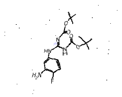 CC(C)(C)OC(=O)/N=C(\NC(=O)OC(C)(C)C)Nc1ccc(F)c(N)c1